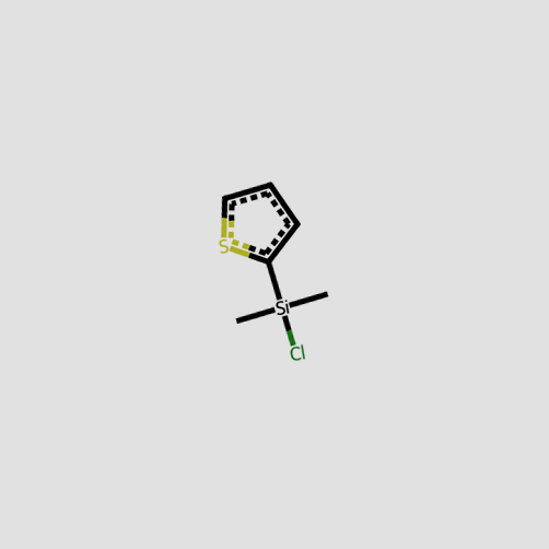 C[Si](C)(Cl)c1cccs1